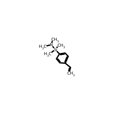 C=Cc1ccc([Si](C)(C)N(C)C)cc1